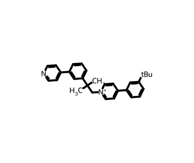 CC(C)(C)c1cccc(-c2cc[n+](CC(C)(C)c3cccc(-c4ccncc4)c3)cc2)c1